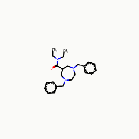 CCN(CC)C(=O)C1CN(Cc2ccccc2)CCN(Cc2ccccc2)C1